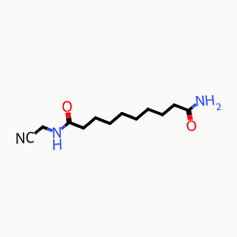 N#CCNC(=O)CCCCCCCCC(N)=O